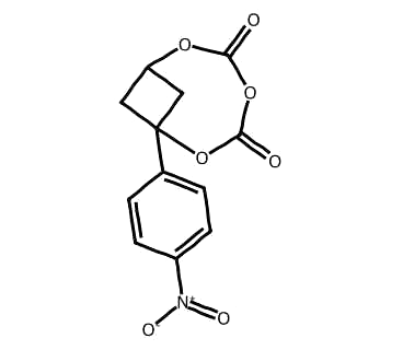 O=C1OC(=O)OC2(c3ccc([N+](=O)[O-])cc3)CC(C2)O1